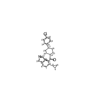 O=C(c1c(C2CC2)ccc2cncn12)C1CCC(c2ccc(Cl)cc2)CC1